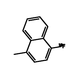 Cc1ccc([18F])c2ccccc12